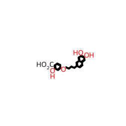 O=C(O)c1ccc(OCCCCc2ccc3cc(O)c(O)cc3c2)cc1O